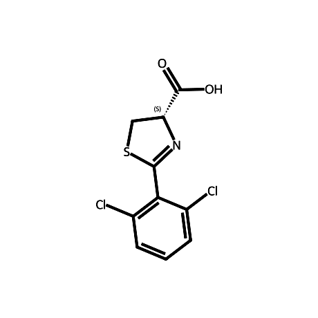 O=C(O)[C@H]1CSC(c2c(Cl)cccc2Cl)=N1